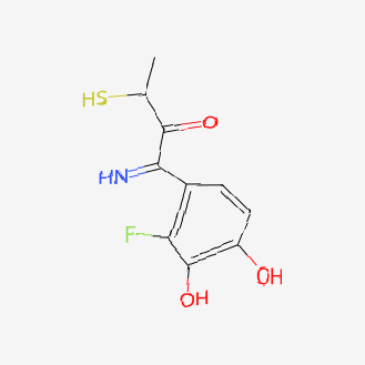 CC(S)C(=O)C(=N)c1ccc(O)c(O)c1F